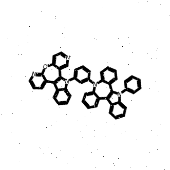 c1ccc(-n2c3c(c4ccccc42)-c2ccccc2N(c2cccc(-n4c5c(c6ccccc64)-c4cccnc4Oc4ccncc4-5)c2)c2ccccc2-3)cc1